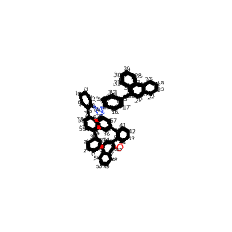 c1ccc(-c2ccc(-c3ccccc3N(c3ccc(-c4cc5ccccc5c5ccccc45)cc3)c3cccc(-c4cccc5oc6c7ccccc7ccc6c45)c3)cc2)cc1